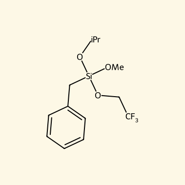 CO[Si](Cc1ccccc1)(OCC(F)(F)F)OC(C)C